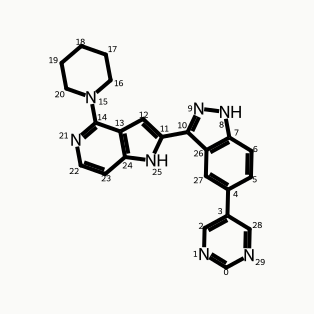 c1ncc(-c2ccc3[nH]nc(-c4cc5c(N6CCCCC6)nccc5[nH]4)c3c2)cn1